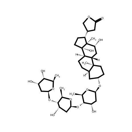 C[C@H]1O[C@@H](O[C@H]2[C@@H](O)C[C@H](O[C@H]3[C@@H](O)C[C@H](O[C@H]4CC[C@@]5(C)[C@H](CC[C@@H]6[C@@H]5C[C@@H](O)[C@]5(C)[C@@H](C7COC(=O)C7)CC[C@]65O)C4)O[C@@H]3C)O[C@@H]2C)C[C@H](O)[C@@H]1O